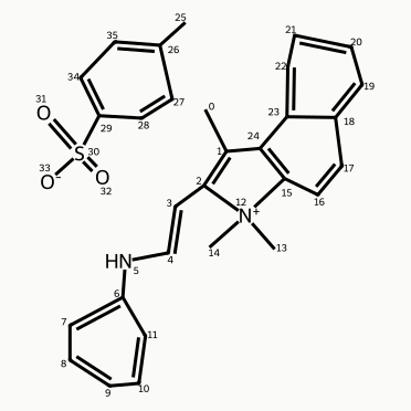 CC1=C(C=CNc2ccccc2)[N+](C)(C)c2ccc3ccccc3c21.Cc1ccc(S(=O)(=O)[O-])cc1